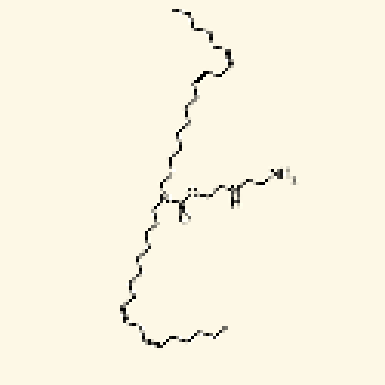 CCCCC/C=C\C/C=C\CCCCCCCCN(CCCCCCCC/C=C\C/C=C\CCCCC)C(=O)OCCNCCN